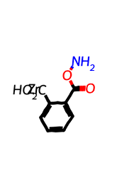 NOC(=O)c1ccccc1C(=O)O.[Zr]